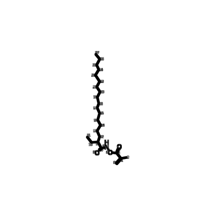 C=C(C)C(=O)ONC(=O)C(CC)CCCCCCCCCCCCCCCC